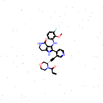 C=CC(=O)N1CCOC[C@@H]1C#Cc1cnccc1-c1[nH]c2c(c1Nc1cccc(F)c1OC)C(=O)NCC2